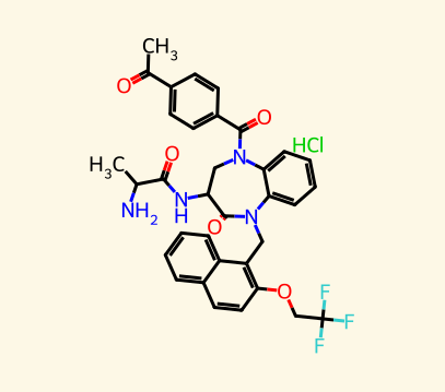 CC(=O)c1ccc(C(=O)N2CC(NC(=O)C(C)N)C(=O)N(Cc3c(OCC(F)(F)F)ccc4ccccc34)c3ccccc32)cc1.Cl